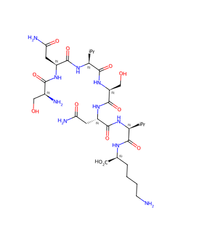 CC(C)[C@H](NC(=O)[C@H](CC(N)=O)NC(=O)[C@H](CO)NC(=O)[C@@H](NC(=O)[C@H](CC(N)=O)NC(=O)[C@@H](N)CO)C(C)C)C(=O)N[C@@H](CCCCN)C(=O)O